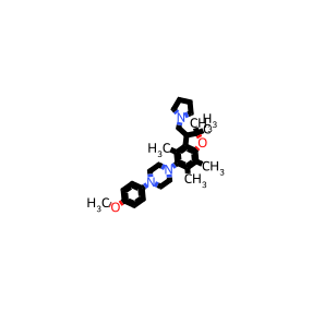 COc1ccc(N2CCN(c3c(C)c(C)c4c(c3C)C(CN3CCCC3)C(C)(C)O4)CC2)cc1